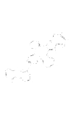 c1ccc2c(c1)-c1ccc(-c3cccc4c3sc3ccccc34)cc1-c1ccccc1-c1nc3ncccc3cc1-2